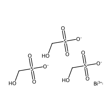 O=S(=O)([O-])CO.O=S(=O)([O-])CO.O=S(=O)([O-])CO.[Bi+3]